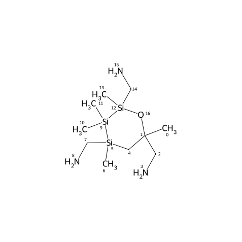 CC1(CN)C[Si](C)(CN)[Si](C)(C)[Si](C)(CN)O1